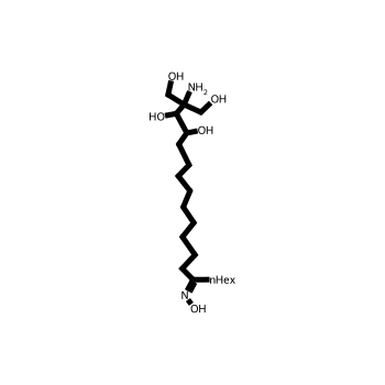 CCCCCC/C(CCCCCCCCCC(O)C(O)C(N)(CO)CO)=N\O